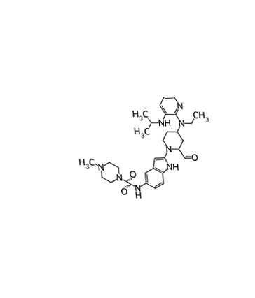 CCN(c1ncccc1NC(C)C)C1CCN(c2cc3cc(NS(=O)(=O)N4CCN(C)CC4)ccc3[nH]2)C(C=O)C1